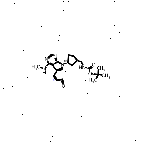 CNc1ncnc2c1c(/C=C\C=O)cn2[C@H]1CCC(CNC(=O)OC(C)(C)C)C1